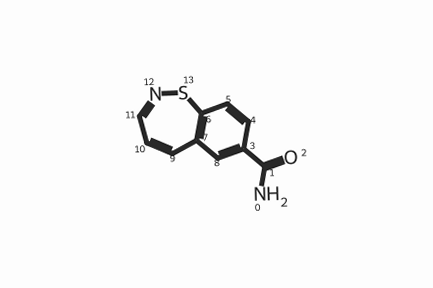 NC(=O)c1ccc2c(c1)C=CC=NS2